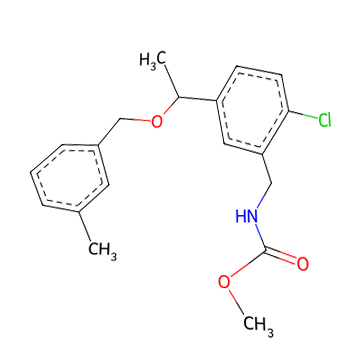 COC(=O)NCc1cc(C(C)OCc2cccc(C)c2)ccc1Cl